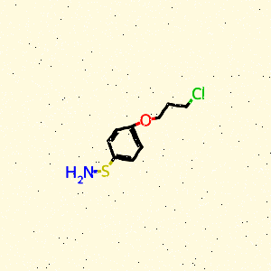 NSc1ccc(OCCCCl)cc1